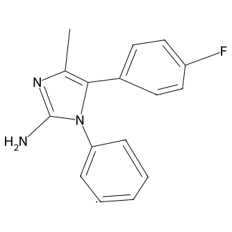 Cc1nc(N)n(-c2c[c]ccc2)c1-c1ccc(F)cc1